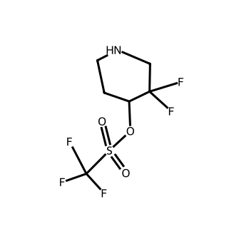 O=S(=O)(OC1CCNCC1(F)F)C(F)(F)F